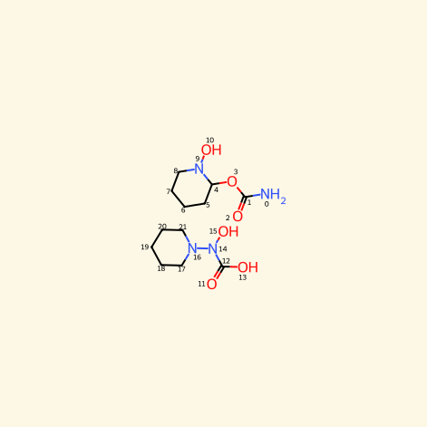 NC(=O)OC1CCCCN1O.O=C(O)N(O)N1CCCCC1